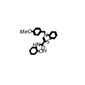 COc1ccc(CN2C=C(C(=O)N[C@H]3CCCC[C@@H]3O)Sc3ccccc32)cc1